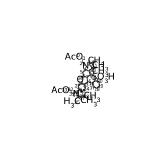 CC(=O)OCCN1c2cc3c(cc2C(C)(C)C1C)C(c1ccccc1S(=O)(=O)O)=c1cc2c(cc1O3)=[N+](CCOC(C)=O)C(C)C2(C)C